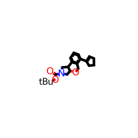 CC(C)(C)OC(=O)N1CC2OCc3c(C4=CCCC4)cccc3C2C1